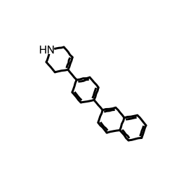 C1=C(c2ccc(-c3ccc4ccccc4c3)cc2)CCNC1